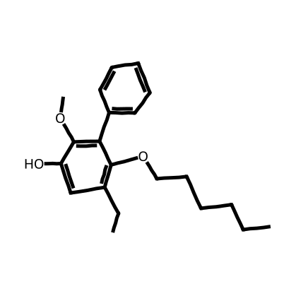 CCCCCCOc1c(CC)cc(O)c(OC)c1-c1ccccc1